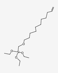 C=CCCCCCCCCCOC[Si](OCC)(OCC)OCC